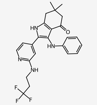 CC1(C)CC(=O)c2c([nH]c(-c3ccnc(NCCC(F)(F)F)c3)c2Nc2ccccc2)C1